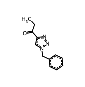 CCC(=O)c1cn(Cc2ccccc2)nn1